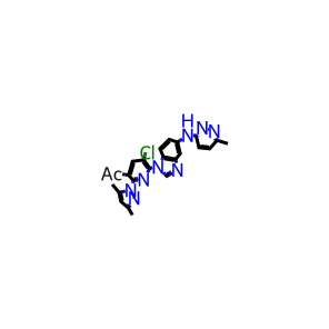 CC(=O)c1cc(Cl)c(-n2cnc3cc(Nc4ccc(C)nn4)ccc32)nc1-n1nc(C)cc1C